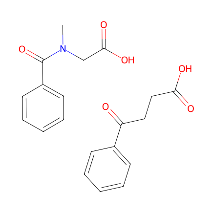 CN(CC(=O)O)C(=O)c1ccccc1.O=C(O)CCC(=O)c1ccccc1